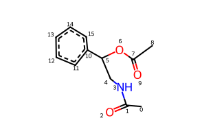 CC(=O)NCC(OC(C)=O)c1ccccc1